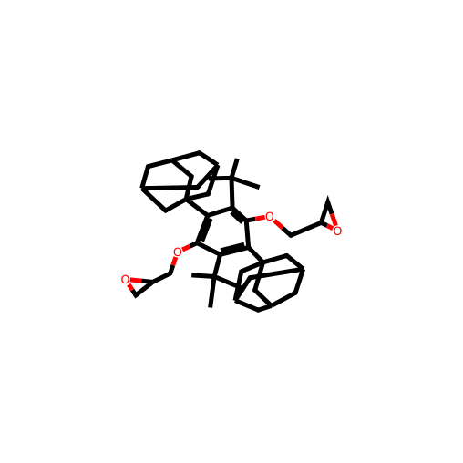 CC(C)(C)c1c(OCC2CO2)c(C23CC4CC(CC(C4)C2)C3)c(C(C)(C)C)c(OCC2CO2)c1C12CC3CC(CC(C3)C1)C2